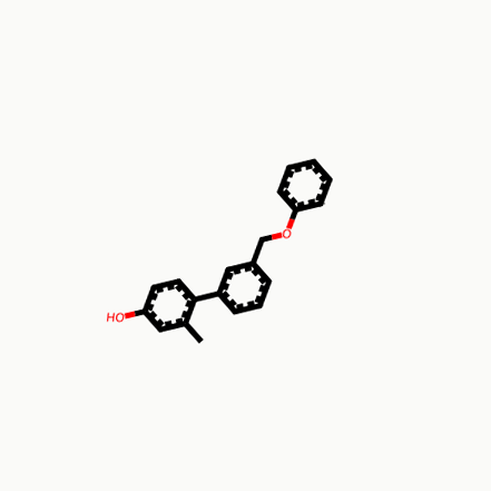 Cc1cc(O)ccc1-c1cccc(COc2[c]cccc2)c1